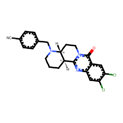 N#Cc1ccc(CN2CCC[C@@H]3c4nc5cc(Cl)c(Cl)cc5c(=O)n4CC[C@H]32)cc1